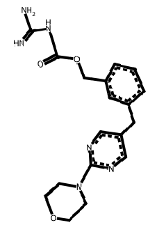 N=C(N)NC(=O)OCc1cccc(Cc2cnc(N3CCOCC3)nc2)c1